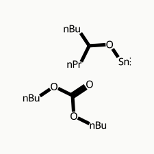 CCCCC(CCC)[O][Sn].CCCCOC(=O)OCCCC